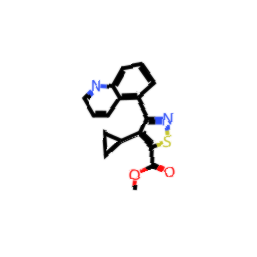 COC(=O)c1snc(-c2cccc3ncccc23)c1C1CC1